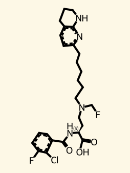 O=C(N[C@@H](CCN(CF)CCCCCCc1ccc2c(n1)NCCC2)C(=O)O)c1cccc(F)c1Cl